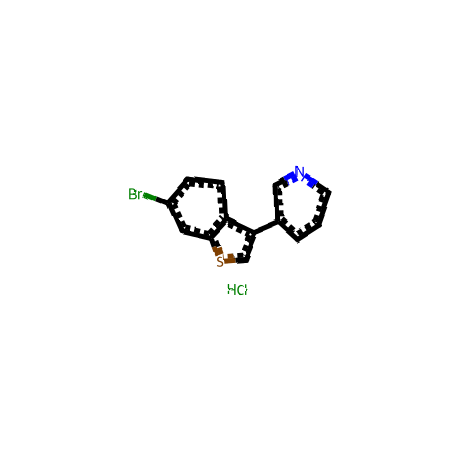 Brc1ccc2c(-c3cccnc3)csc2c1.Cl